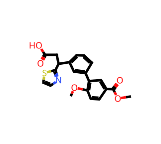 COC(=O)c1ccc(OC)c(-c2cccc(C(CC(=O)O)c3nccs3)c2)c1